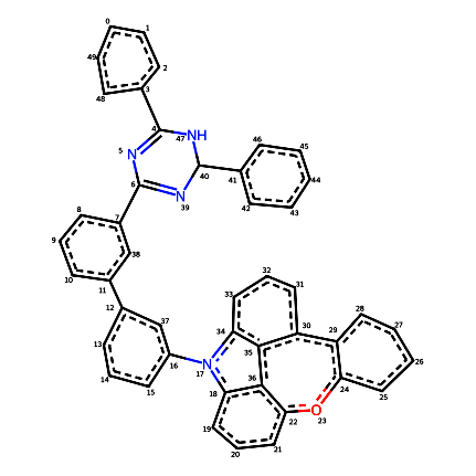 c1ccc(C2=NC(c3cccc(-c4cccc(-n5c6cccc7oc8ccccc8c8cccc5c8c76)c4)c3)=NC(c3ccccc3)N2)cc1